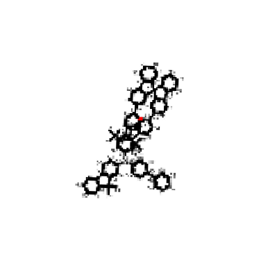 CC(C)(C)CC(c1ccc(-c2ccc3c(c2)C2(c4ccccc4-3)c3ccccc3-c3ccc(-c4ccc5c(c4)Cc4ccc(N(c6ccc(-c7ccccc7)cc6)c6ccc7c(c6)C(C)(C)c6ccccc6-7)cc4-5)cc32)cc1)C(C)(C)C